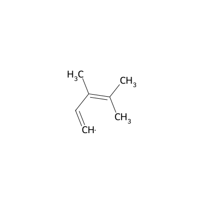 [CH]=CC(C)=C(C)C